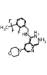 CC(F)(F)c1cccc(CN/C(N)=c2\cc(N3CCOCC3)cn\c2=C\N)c1F